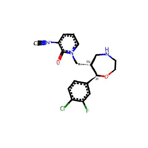 [C-]#[N+]c1cccn(C[C@@H]2CNCCO[C@H]2c2ccc(Cl)c(F)c2)c1=O